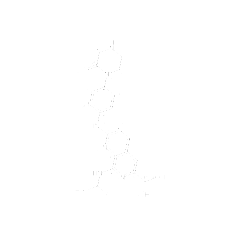 CC(C)Nc1nc([C@@H](C)O)cc2cnc(Nc3ccc(N4CCNCC4=O)cn3)nc12